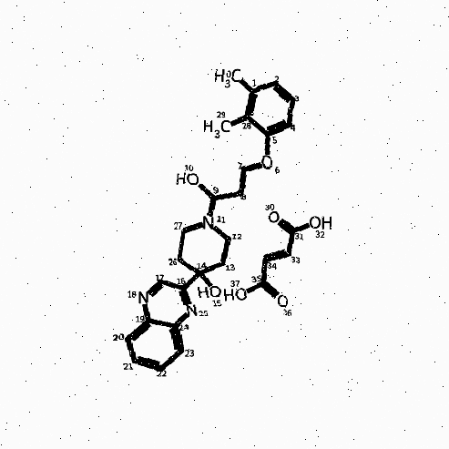 Cc1cccc(OCCC(O)N2CCC(O)(c3cnc4ccccc4n3)CC2)c1C.O=C(O)/C=C/C(=O)O